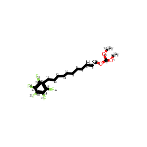 CC(C)OC(O[SiH2]CCCCCCCCCCc1c(F)c(F)c(F)c(F)c1F)OC(C)C